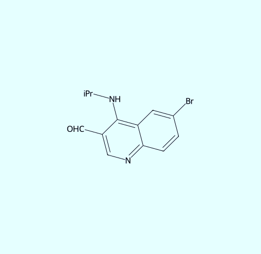 CC(C)Nc1c(C=O)cnc2ccc(Br)cc12